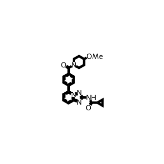 COC1CCN(C(=O)c2ccc(-c3cccc4nc(NC(=O)C5CC5)nn34)cc2)CC1